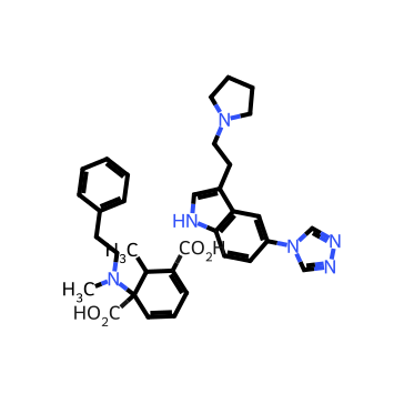 CC1C(C(=O)O)=CC=CC1(C(=O)O)N(C)CCc1ccccc1.c1cc2[nH]cc(CCN3CCCC3)c2cc1-n1cnnc1